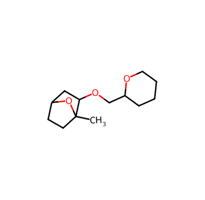 CC12CCC(CC1OCC1CCCCO1)O2